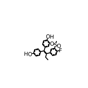 CCC(=C(c1ccc(O)cc1)c1ccc(O)cc1)c1ccc(F)c(S(C)(=O)=O)c1